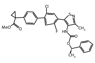 COC(=O)C1(c2ccc(-c3cc(F)c(-c4snc(C)c4NC(=O)O[C@H](C)c4ccccc4)cc3Cl)cc2)CC1